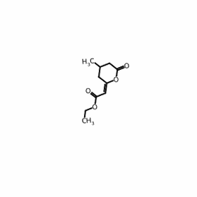 CCOC(=O)C=C1CC(C)CC(=O)O1